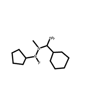 CCCC(C1CCCCC1)N(C)N(F)C1CCCC1